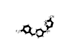 N#Cc1ccc(NC2CCN(Cc3cccc(C(F)(F)F)c3)CC2)nn1